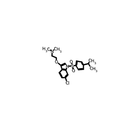 CC(C)c1ccc(S(=O)(=O)n2cc(OCCN(C)C)c3ccc(Cl)cc32)cc1